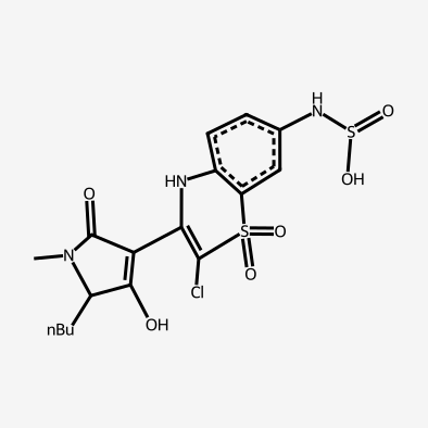 CCCCC1C(O)=C(C2=C(Cl)S(=O)(=O)c3cc(NS(=O)O)ccc3N2)C(=O)N1C